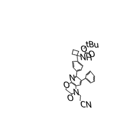 CC(C)(C)OC(=O)NC1(c2ccc(-c3nc4c(cc3-c3ccccc3)N(CCC#N)C(=O)CO4)cc2)CCC1